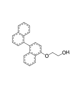 OCCOc1ccc(-c2cccc3ccccc23)c2ccccc12